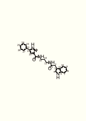 O=C(Cc1c[nH]c2ccccc12)NCCCNC(=O)c1cc(-c2ccccc2)[nH]n1